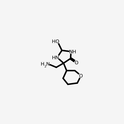 NCC1(C2CCCOC2)NC(O)NC1=O